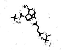 COC(C)(C)OC(=O)C1C2OC3C(OC(O)C31)C2OC(=O)CCC(=O)OC(C)C(F)(F)S(=O)(=O)O